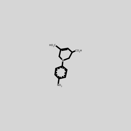 O=C(O)C1=CC(C(=O)O)CN(c2ccc([N+](=O)[O-])cc2)C1